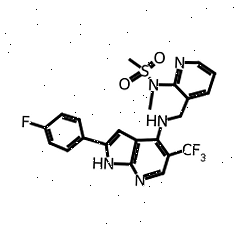 CN(c1ncccc1CNc1c(C(F)(F)F)cnc2[nH]c(-c3ccc(F)cc3)cc12)S(C)(=O)=O